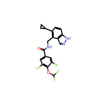 O=C(NCc1c(C2CC2)ccc2[nH]ncc12)c1cc(F)c(OC(F)F)c(F)c1